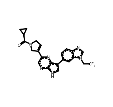 O=C(C1CC1)N1CC=C(c2cnc3[nH]cc(-c4ccc5ncn(CC(F)(F)F)c5c4)c3n2)C1